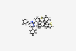 c1ccc(-c2cc(-c3ccccc3)nc(-c3ccc4c(c3)C3(c5ccccc5S4)c4ccccc4-c4cc5ccsc5cc43)n2)cc1